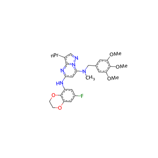 CCCc1cnn2c(N(C)Cc3cc(OC)c(OC)c(OC)c3)cc(Nc3cc(F)cc4c3OCCO4)nc12